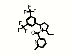 CCC1CCC(c2cc(C(F)(F)F)cc(C(F)(F)F)c2)N1C(=O)c1cccc(C)n1